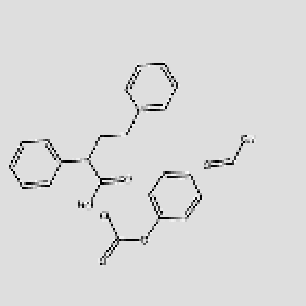 O=C(Cl)Oc1ccccc1.O=C(O)C(CCc1ccccc1)c1ccccc1.O=CO